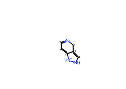 C1=NCC2=CNNC2=C1